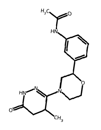 CC(=O)Nc1cccc(C2CN(C3=NNC(=O)CC3C)CCO2)c1